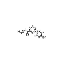 CCC(=O)N1CCOC(c2ccc(Br)cc2)C1